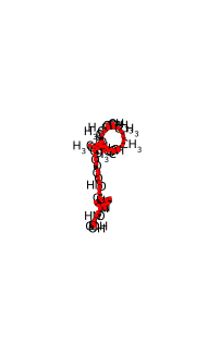 CO[C@@H]1C[C@H](C[C@H]2C3CCCN4C(=O)C(=O)[C@]5(O)O[C@H](CC/C(C)=C/C=C/C=C/[C@@H](C)C[C@@H](C)C(=O)[C@H](OC)[C@H](O)/C(C)=C/[C@@H](C)C(=O)C[C@@H]2OC(=O)[C@H]34)CC[C@H]5C)CC[C@H]1OC(=O)CCOCCOCCOCCOCCNC(=O)CCCCC(=O)N1Cc2ccccc2C2N=NN(CCCC(=O)NCCCOP(=O)(O)O)C2c2ccccc21